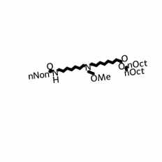 CCCCCCCCCC(=O)NCCCCCCCN(CCCCCCCC(=O)OC(CCCCCCCC)CCCCCCCC)CCOC